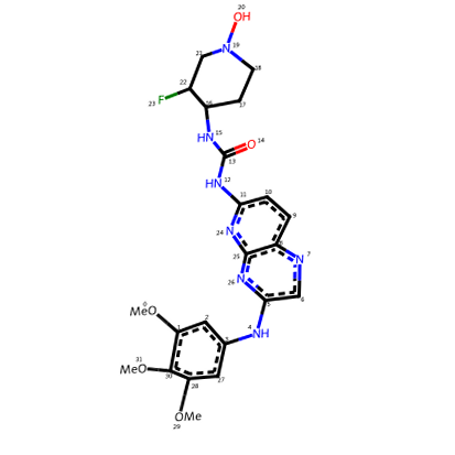 COc1cc(Nc2cnc3ccc(NC(=O)NC4CCN(O)CC4F)nc3n2)cc(OC)c1OC